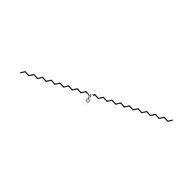 CCCCCCCCCCCCCCCCCCC=[N+]([O-])CCCCCCCCCCCCCCCC